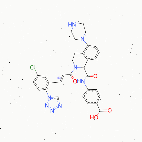 O=C(O)c1ccc(NC(=O)C2c3cccc(N4CCNCC4)c3CCN2C(=O)/C=C/c2cc(Cl)ccc2-n2cnnn2)cc1